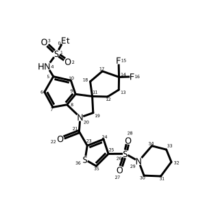 CCS(=O)(=O)Nc1ccc2c(c1)C1(CCC(F)(F)CC1)CN2C(=O)c1cc(S(=O)(=O)N2CCCCC2)cs1